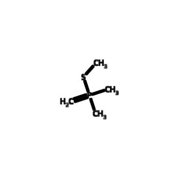 C=P(C)(C)SC